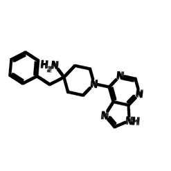 NC1(Cc2ccccc2)CCN(c2ncnc3[nH]cnc23)CC1